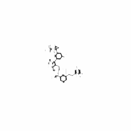 C[C@@H]1c2nn(C)c(-c3cc(Cl)cc(C4(NS(C)(=O)=O)CC4)c3)c2CCN1C(=O)c1cc(F)cc(CCc2c[nH]nn2)c1Cl